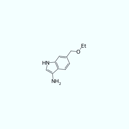 CCOCc1ccc2c(N)c[nH]c2c1